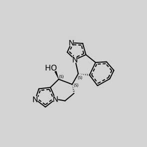 O[C@@H]1c2cncn2CC[C@H]1[C@H]1c2ccccc2-c2cncn21